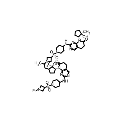 CC(C)N1CC(S(=O)(=O)N2CCC(Nc3ncc4c(n3)N([C@@H]3CCC(CC(C)N5CC(S(=O)(=O)N6CCC(Nc7ncc8c(n7)N([C@@H]7CCC[C@@]7(C)O)C(=O)CC8)CC6)C5)[C@@]3(C)O)C(=O)CC4)CC2)C1